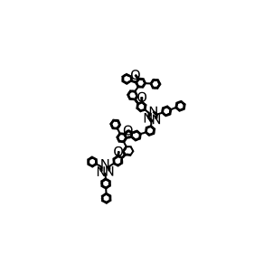 C1=c2c(oc3cc(-c4nc(-c5ccccc5)nc(-c5ccc(-c6ccccc6)cc5)n4)ccc23)=C(c2ccc(-c3ccccc3)c3oc4cc(-c5cccc(-c6nc(-c7ccc(-c8ccccc8)cc7)nc(-c7ccc8c(c7)oc7c(-c9cc(-c%10ccccc%10)cc%10oc%11ccccc%11c9%10)cccc78)n6)c5)ccc4c23)CC1